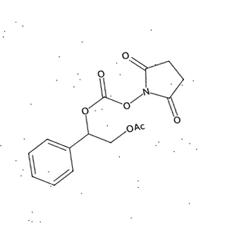 CC(=O)OCC(OC(=O)ON1C(=O)CCC1=O)c1ccccc1